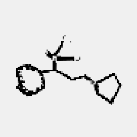 NS(=O)(=O)C(CCN1CCCC1)c1ccccc1